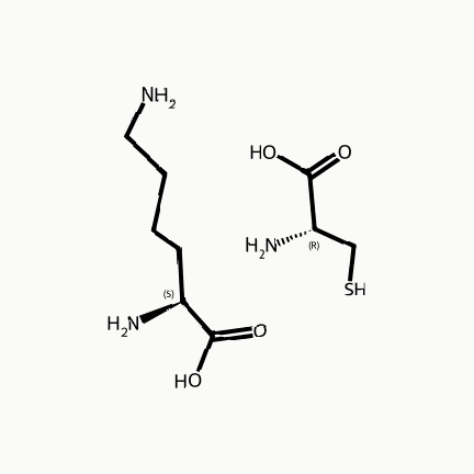 NCCCC[C@H](N)C(=O)O.N[C@@H](CS)C(=O)O